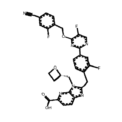 N#Cc1ccc(COc2nc(-c3ccc(Cc4nc5ccc(C(=O)O)nc5n4C[C@@H]4CCO4)c(F)c3)ncc2F)c(F)c1